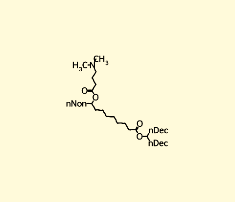 CCCCCCCCCCC(CCCCCCCCCC)OC(=O)CCCCCCCC(CCCCCCCCC)OC(=O)CCCN(C)C